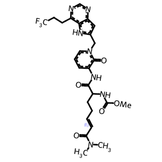 COC(=O)NC(CC/C=C/C(=O)N(C)C)C(=O)Nc1cccn(Cc2cc3ncnc(CCC(F)(F)F)c3[nH]2)c1=O